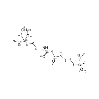 CO[Si](C)(CCCNC(=O)CC(=O)NCCC[Si](CO)(OC)OC)OC